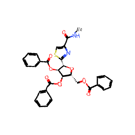 CCNC(=O)c1csc([C@@H]2O[C@H](COC(=O)c3ccccc3)[C@@H](OC(=O)c3ccccc3)[C@H]2OC(=O)c2ccccc2)n1